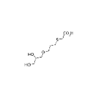 O=C(O)CSCCCOCC(O)CO